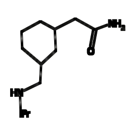 CC(C)NCC1CCCC(CC(N)=O)C1